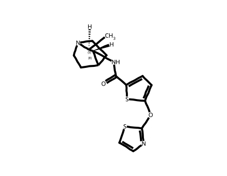 C[C@H]1[C@H](NC(=O)c2ccc(Oc3nccs3)s2)C2CCN1CC2